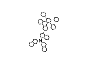 c1ccc(-c2cc(-c3ccccc3)c3c4ccccc4c4cc(-c5ccc(N(c6ccc7ccccc7c6)c6ccc7ccccc7c6)c6ccccc56)ccc4c3c2-c2ccccc2)cc1